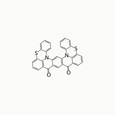 O=c1c2cc3c(=O)c4cccc5sc6ccccc6n(c3cc2n2c3ccccc3sc3cccc1c32)c54